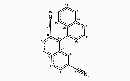 N#Cc1ccc2ccc(C#N)c(-c3cccc4ccccc34)c2c1